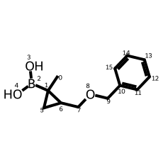 CC1(B(O)O)CC1COCc1ccccc1